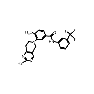 Cc1ccc(C(=O)Nc2cccc(C(F)(F)F)c2)cc1N1CCc2nc(S)ncc2C1